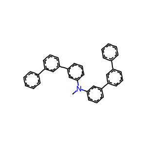 CN(c1cccc(-c2cccc(-c3ccccc3)c2)c1)c1cccc(-c2cccc(-c3ccccc3)c2)c1